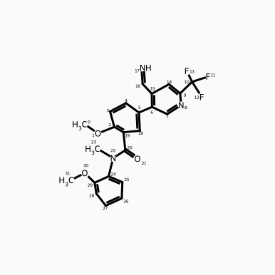 COc1ccc(-c2cnc(C(F)(F)F)cc2C=N)cc1C(=O)N(C)c1ccccc1OC